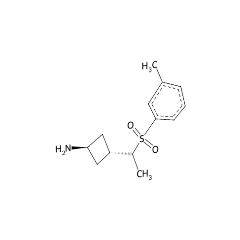 Cc1cccc(S(=O)(=O)C(C)[C@H]2C[C@H](N)C2)c1